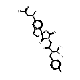 CC(=O)N(CC(N)=O)c1ccc2c(c1)CC[C@@]21OC(=O)N(CC(=O)N(Cc2ccc(F)cc2)[C@@H](C)C(F)(F)F)C1=O